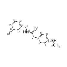 CBc1ccc(CC(=O)NCc2cccc(F)c2)cc1